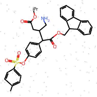 Cc1ccc(S(=O)(=O)Oc2ccc(C(C(=O)OCC3c4ccccc4-c4ccccc43)C(CN)CC(=O)OC(C)C)cc2)cc1